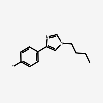 [CH2]CCCn1cnc(-c2ccc(F)cc2)c1